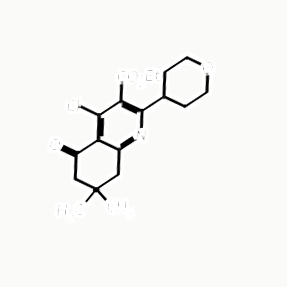 CCOC(=O)c1c(C2CCOCC2)nc2c(c1Cl)C(=O)CC(C)(C)C2